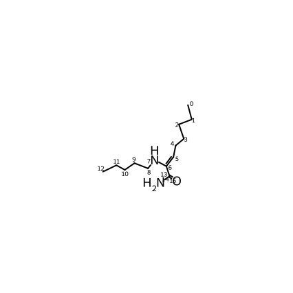 CCCCCC=C(NCCCCC)C(N)=O